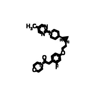 Cc1cnc(N2CCC([C@H]3C[C@H]3CCOc3ccc(CC(=O)N4CCOCC4)c(F)c3)CC2)nc1